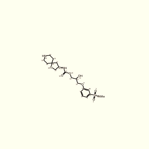 CNS(=O)(=O)c1cccc(OCC(O)COC(=O)N[C@H]2COC3(CCNCC3)C2)c1